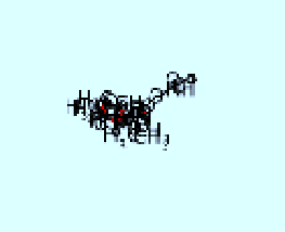 CO[C@H]1C(=O)[C@]2(C)[C@@H](OC)C[C@H]3OC[C@@]3(OC(C)=O)[C@H]2[C@H](OC(=O)c2ccccc2)[C@]2(O)C[C@H](OC(=O)[C@H](OC(=O)COCCOCCCCNC(=O)OCc3ccccc3)[C@@H](NC(=O)OC(C)(C)C)c3ccccc3)C(C)=C1C2(C)C